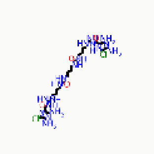 N=C(NCCCCNC(=O)NCCCCNC(=O)NCCCCNC(=N)NC(=O)c1nc(Cl)c(N)nc1N)NC(=O)c1nc(Cl)c(N)nc1N